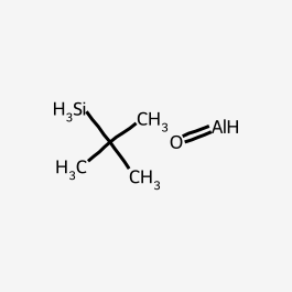 CC(C)(C)[SiH3].[O]=[AlH]